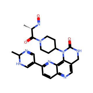 CC1N=CC(c2ccc3ncc4c(c3n2)N(C2CCN(C(=O)[C@H](C)N=O)CC2)C(=O)NC4)=CN1